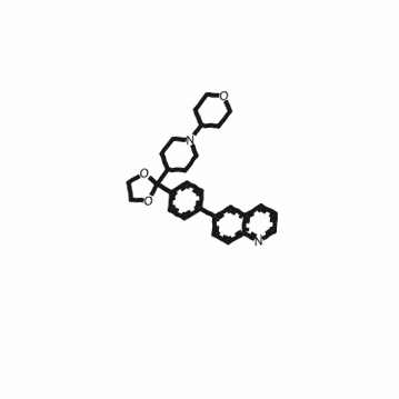 c1cnc2ccc(-c3ccc(C4(C5CCN(C6CCOCC6)CC5)OCCO4)cc3)cc2c1